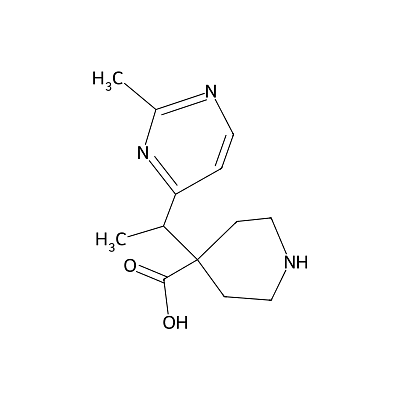 Cc1nccc(C(C)C2(C(=O)O)CCNCC2)n1